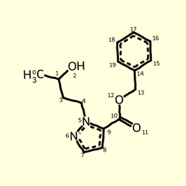 CC(O)CCn1nccc1C(=O)OCc1ccccc1